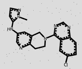 Cn1nccc1Nc1cnc2c(c1)CN(c1ncnc3ccc(Cl)cc13)CC2